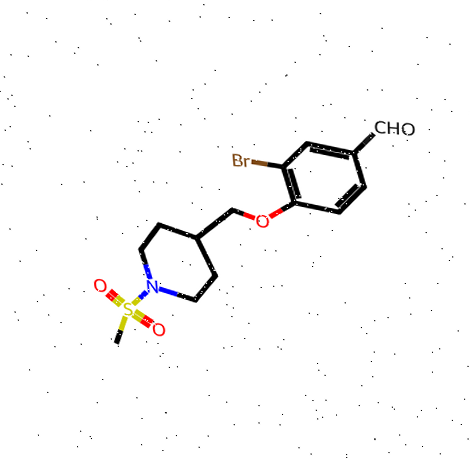 CS(=O)(=O)N1CCC(COc2ccc(C=O)cc2Br)CC1